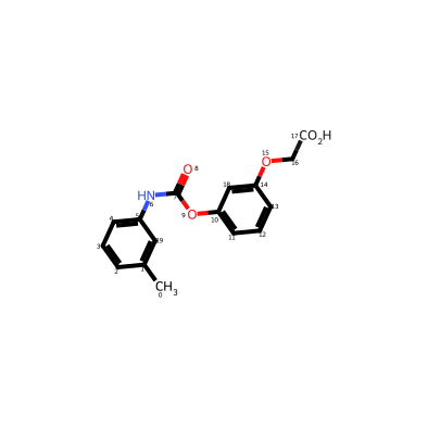 Cc1cccc(NC(=O)Oc2cccc(OCC(=O)O)c2)c1